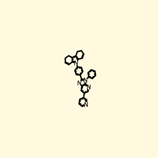 C1=Cc2c(c3c(n2-c2ccc(-c4nc5cc(-c6cccnc6)cnc5n4-c4ccccc4)cc2)C=CCC3)CC1